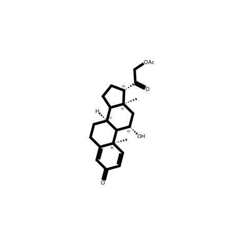 CC(=O)OCC(=O)[C@H]1CCC2[C@@H]3CCC4=CC(=O)C=C[C@]4(C)C3[C@@H](O)C[C@@]21C